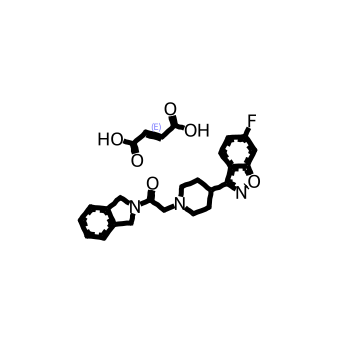 O=C(CN1CCC(c2noc3cc(F)ccc23)CC1)N1Cc2ccccc2C1.O=C(O)/C=C/C(=O)O